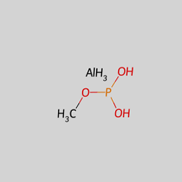 COP(O)O.[AlH3]